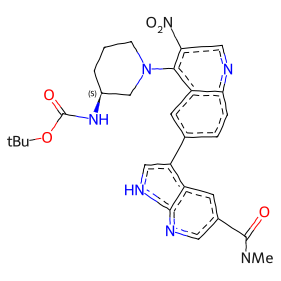 CNC(=O)c1cnc2[nH]cc(-c3ccc4ncc([N+](=O)[O-])c(N5CCC[C@H](NC(=O)OC(C)(C)C)C5)c4c3)c2c1